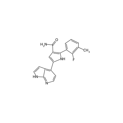 Cc1cccc(-c2[nH]c(-c3ccnc4[nH]ccc34)cc2C(N)=O)c1F